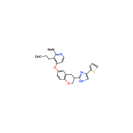 CNc1nccc(Oc2ccc3c(c2)CC(c2nc(-c4cccs4)c[nH]2)CO3)c1CCC=O